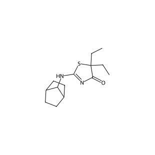 CCC1(CC)SC(NC2C3CCC2CC3)=NC1=O